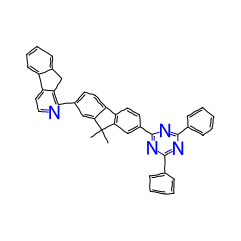 CC1(C)c2cc(-c3nc(-c4ccccc4)nc(-c4ccccc4)n3)ccc2-c2ccc(-c3nccc4c3Cc3ccccc3-4)cc21